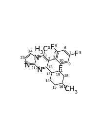 Cc1c(-c2c(F)cc(F)cc2F)c(C2CCC(C)CC2)nc2nccn12